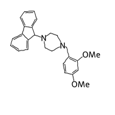 COc1ccc(CN2CCN(C3c4ccccc4-c4ccccc43)CC2)c(OC)c1